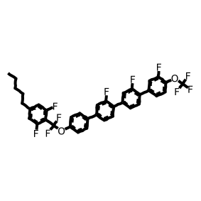 CCCCCc1cc(F)c(C(F)(F)Oc2ccc(-c3ccc(-c4ccc(-c5ccc(OC(F)(F)F)c(F)c5)c(F)c4)c(F)c3)cc2)c(F)c1